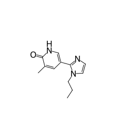 CCCn1ccnc1-c1c[nH]c(=O)c(C)c1